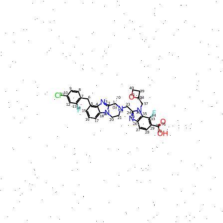 C[C@H]1c2nc3c(Cc4ccc(Cl)cc4F)cccc3n2CCN1Cc1nc2ccc(C(=O)O)c(F)c2n1C[C@@H]1CCO1